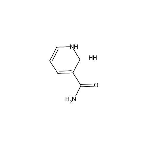 NC(=O)C1=CC=CNC1.[HH]